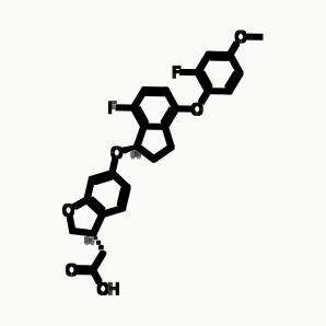 COc1ccc(Oc2ccc(F)c3c2CC[C@H]3Oc2ccc3c(c2)OC[C@H]3CC(=O)O)c(F)c1